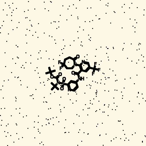 CC(C)(C)OC(=O)N(C(C)(C)C)S(=O)(=O)c1cc(NC(=O)c2cc(C(F)(F)F)cnc2N2CCC(F)(F)CCC2=O)ccn1